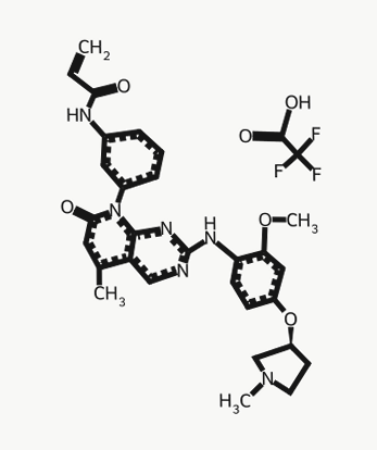 C=CC(=O)Nc1cccc(-n2c(=O)cc(C)c3cnc(Nc4ccc(O[C@H]5CCN(C)C5)cc4OC)nc32)c1.O=C(O)C(F)(F)F